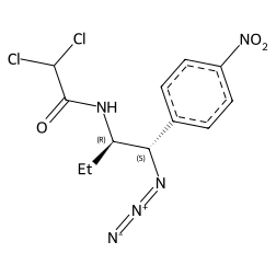 CC[C@@H](NC(=O)C(Cl)Cl)[C@@H](N=[N+]=[N-])c1ccc([N+](=O)[O-])cc1